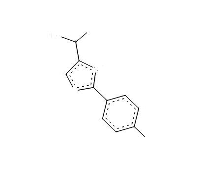 CC(C)c1csc(-c2ccc(F)cc2)n1